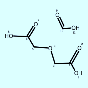 O=C(O)COCC(=O)O.O=[C]O